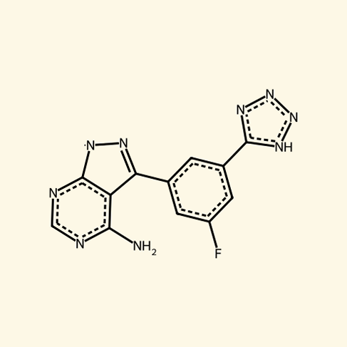 Nc1ncnc2c1C(c1cc(F)cc(-c3nnn[nH]3)c1)=N[N]2